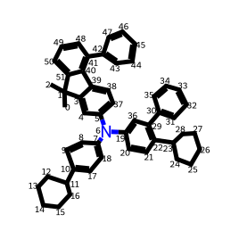 CC1(C)c2cc(N(c3ccc(C4CCCCC4)cc3)c3ccc(C4CCCCC4)c(-c4ccccc4)c3)ccc2-c2c(-c3ccccc3)cccc21